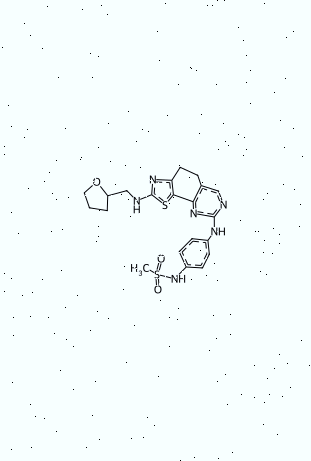 CS(=O)(=O)Nc1ccc(Nc2ncc3c(n2)-c2sc(NCC4CCCO4)nc2CC3)cc1